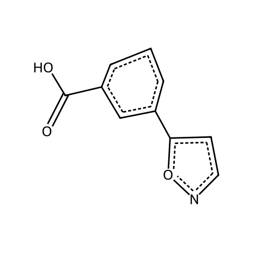 O=C(O)c1cccc(-c2ccno2)c1